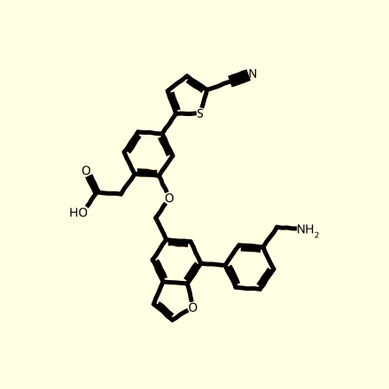 N#Cc1ccc(-c2ccc(CC(=O)O)c(OCc3cc(-c4cccc(CN)c4)c4occc4c3)c2)s1